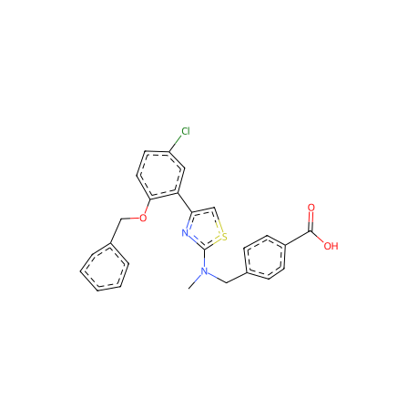 CN(Cc1ccc(C(=O)O)cc1)c1nc(-c2cc(Cl)ccc2OCc2ccccc2)cs1